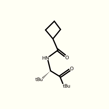 CC(C)(C)C(=O)[C@@H](NC(=O)C1CCC1)C(C)(C)C